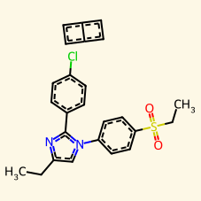 CCc1cn(-c2ccc(S(=O)(=O)CC)cc2)c(-c2ccc(Cl)cc2)n1.c1cc2ccc1-2